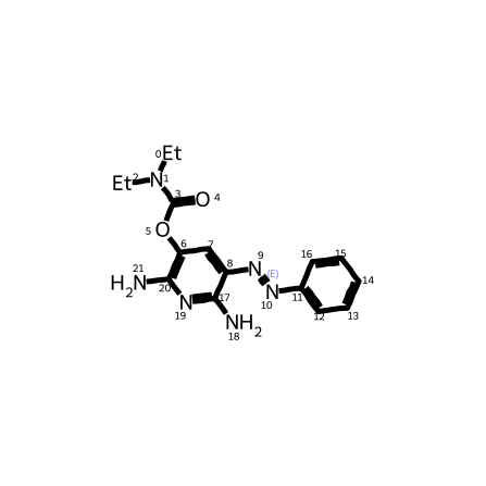 CCN(CC)C(=O)Oc1cc(/N=N/c2ccccc2)c(N)nc1N